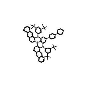 CC(C)(C)c1cc(N2c3cc(-c4ccc(-c5ccccc5)cc4)cc4c3B(c3ccc5cc6ccccc6cc5c32)c2ccc3cc5ccccc5cc3c2N4c2cc(C(C)(C)C)cc(C(C)(C)C)c2)cc(C(C)(C)C)c1